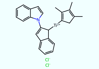 CC1=C(C)C(C)=[C]([Ti+2][CH]2C(n3ccc4ccccc43)=Cc3ccccc32)C1.[Cl-].[Cl-]